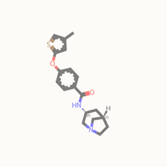 Cc1csc(Oc2ccc(C(=O)N[C@@H]3C[C@@H]4CCN(C4)C3)cc2)c1